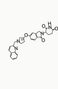 O=C1CCC(N2Cc3cc(O[C@H]4CCN(Cc5ccc6ccccc6n5)C4)ccc3C2=O)C(=O)N1